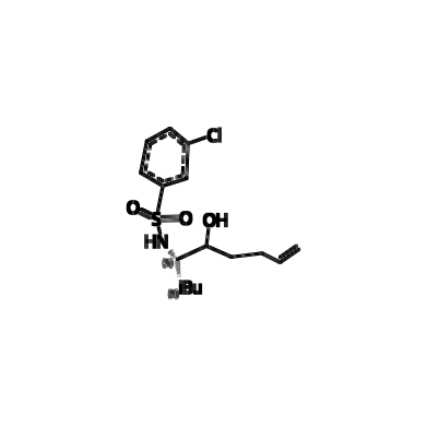 C=CCCC(O)[C@@H](NS(=O)(=O)c1cccc(Cl)c1)[C@@H](C)CC